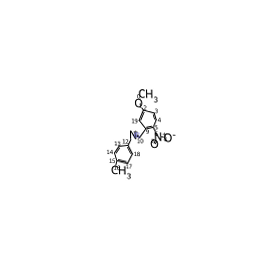 COc1ccc([N+](=O)[O-])c(/C=N/c2ccc(C)cc2)c1